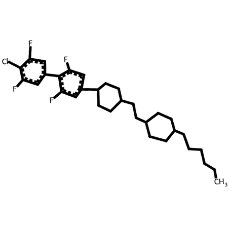 CCCCCCC1CCC(CCC2CCC(c3cc(F)c(-c4cc(F)c(Cl)c(F)c4)c(F)c3)CC2)CC1